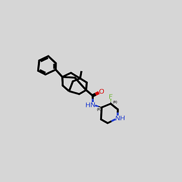 CC12CC3CC(C(=O)N[C@@H]4CCNC[C@H]4F)(C1)CC(c1ccccc1)(C3)C2